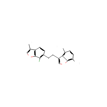 Cc1coc2c(Cl)c(CCc3coc4c(C)ccc(C)c34)ccc12